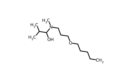 CCCCCOCCCN(C)C(O)C(C)C